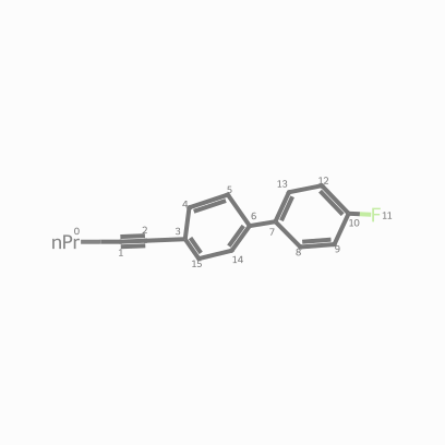 CCCC#Cc1ccc(-c2ccc(F)cc2)cc1